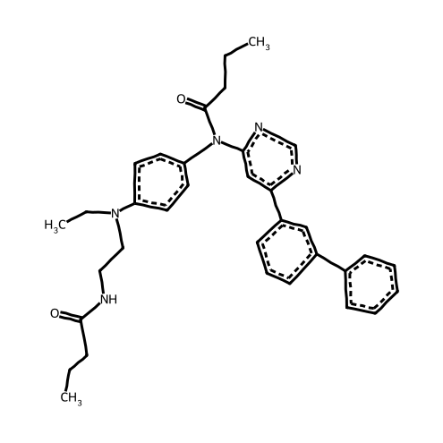 CCCC(=O)NCCN(CC)c1ccc(N(C(=O)CCC)c2cc(-c3cccc(-c4ccccc4)c3)ncn2)cc1